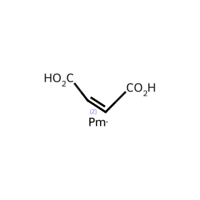 O=C(O)/C=C\C(=O)O.[Pm]